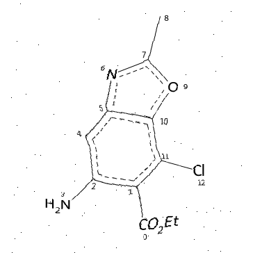 CCOC(=O)c1c(N)cc2nc(C)oc2c1Cl